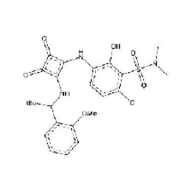 COc1ccccc1C(Nc1c(Nc2ccc(Cl)c(S(=O)(=O)N(C)C)c2O)c(=O)c1=O)C(C)(C)C